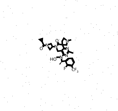 Cc1nc(N(CO)[C@H](C)c2cccc(C(F)(F)F)c2F)c2c(n1)C1(CCN(C)C1)C(=O)N(C1CN(C(=O)C3CC3)C1)C2